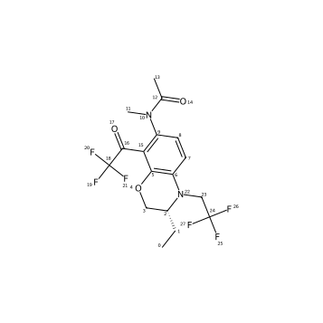 CC[C@@H]1COc2c(ccc(N(C)C(C)=O)c2C(=O)C(F)(F)F)N1CC(F)(F)F